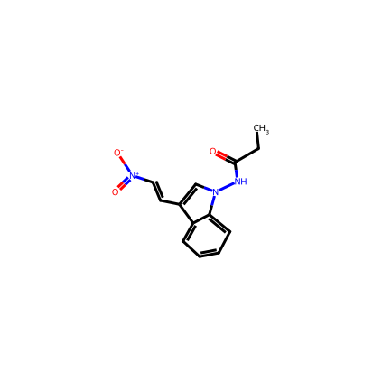 CCC(=O)Nn1cc(C=C[N+](=O)[O-])c2ccccc21